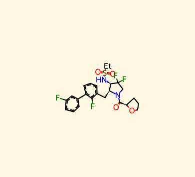 CCS(=O)(=O)N[C@@H]1[C@H](Cc2cccc(-c3cccc(F)c3)c2F)N(C(=O)[C@H]2CCCO2)CC1(F)F